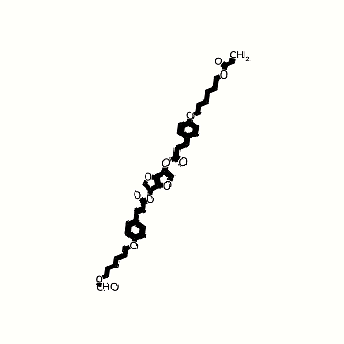 C=CC(=O)OCCCCCCOc1ccc(/C=C/C(=O)OC2COC3C(OC(=O)/C=C/c4ccc(OCCCCCCOC=O)cc4)COC23)cc1